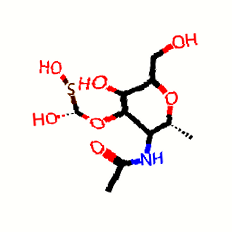 CC(=O)NC1C(O[C@H](O)SO)C(O)C(CO)O[C@@H]1C